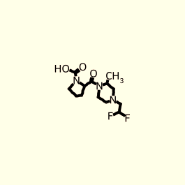 CC1CN(CC(F)F)CCN1C(=O)C1CCCN1C(=O)O